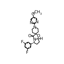 COc1cnc(N2CCC3(CC2)O[C@@H]2CC[C@@H](c4cc(F)cc(F)c4)N2C3=O)nc1